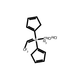 Cl.Cl.[CH3][Zr](=[CH]C(F)(F)F)([C]1=CC=CC1)[C]1=CC=CC1